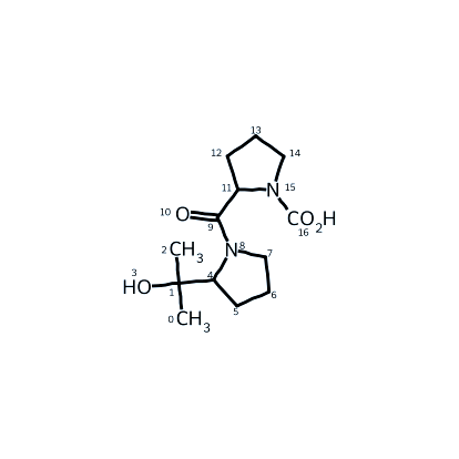 CC(C)(O)C1CCCN1C(=O)C1CCCN1C(=O)O